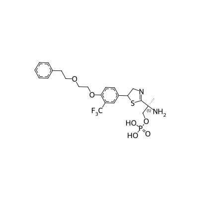 C[C@](N)(COP(=O)(O)O)C1=NCC(c2ccc(OCCOCCc3ccccc3)c(C(F)(F)F)c2)S1